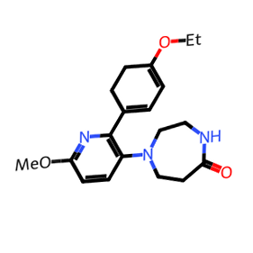 CCOC1=CC=C(c2nc(OC)ccc2N2CCNC(=O)CC2)CC1